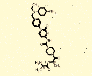 CCN(Cc1ccc(-n2ccc(NC(=O)N3CCN(C(=O)[C@@H](C)NC(=O)[C@@H](C)N)CC3)nc2=O)cc1)[C@H]1CC[C@H](N)CC1